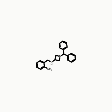 Nc1ccccc1CNC1CN(C(c2ccccc2)c2ccccc2)C1